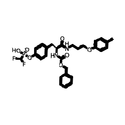 Cc1ccc(OCCCNC(=O)[C@H](Cc2ccc(OP(=O)(O)C(F)F)cc2)NC(=O)OCc2ccccc2)cc1